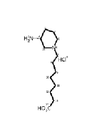 Cl.N[C@@H]1CCCN(CCCCCCCC(=O)O)C1